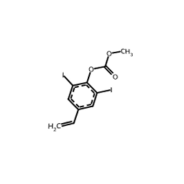 C=Cc1cc(I)c(OC(=O)OC)c(I)c1